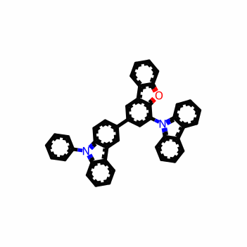 c1ccc(-n2c3ccccc3c3cc(-c4cc(-n5c6ccccc6c6ccccc65)c5oc6ccccc6c5c4)ccc32)cc1